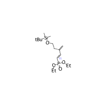 C=C(/C=C/P(=O)(OCC)OCC)CCO[Si](C)(C)C(C)(C)C